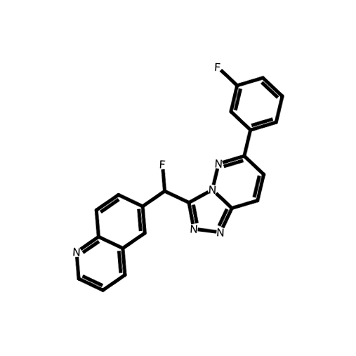 Fc1cccc(-c2ccc3nnc(C(F)c4ccc5ncccc5c4)n3n2)c1